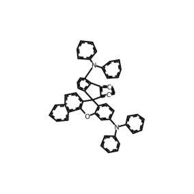 c1ccc(N(c2ccccc2)c2ccc3c(c2)Oc2c(ccc4ccccc24)C32c3ccccc3-c3c(N(c4ccccc4)c4ccccc4)cccc32)cc1